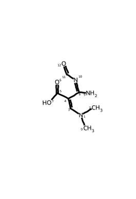 CN(C)/C=C(C(=O)O)\C(N)=N/C=O